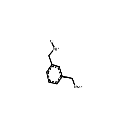 CNCc1cccc(CNCl)c1